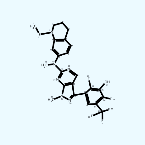 CSN1CCCc2ccc(N(C)c3ncc4c(-c5cc(C(F)(F)F)c(F)c(O)c5F)nn(C)c4n3)cc21